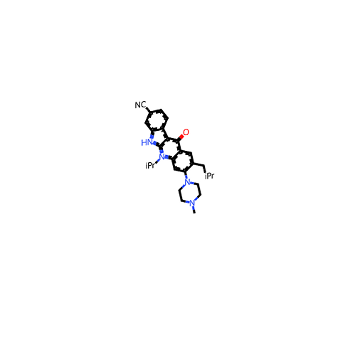 CC(C)Cc1cc2c(=O)c3c4ccc(C#N)cc4[nH]c3n(C(C)C)c2cc1N1CCN(C)CC1